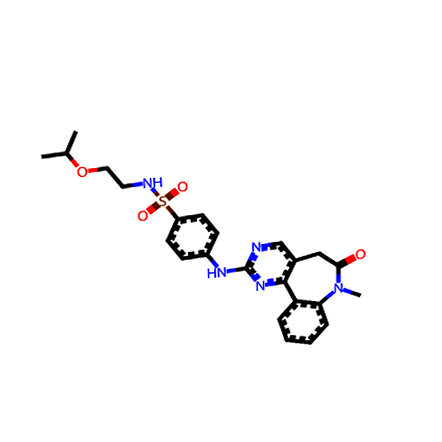 CC(C)OCCNS(=O)(=O)c1ccc(Nc2ncc3c(n2)-c2ccccc2N(C)C(=O)C3)cc1